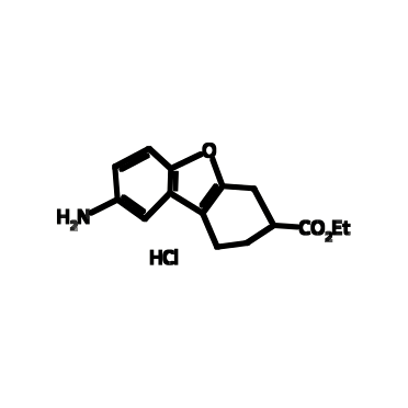 CCOC(=O)C1CCc2c(oc3ccc(N)cc23)C1.Cl